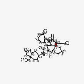 CC1(C)CCC2(CC1)N[C@@H](C(=O)NC1CCC(CO)(CO)CC1)[C@H](c1ccnc(Cl)c1F)[C@]21C(=O)Nc2cc(Cl)ccc21